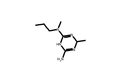 CCCN(C)C1=NC(C)N=C(N)N1